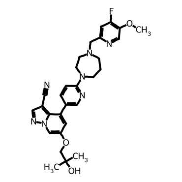 COc1cnc(CN2CCCN(c3ccc(-c4cc(OCC(C)(C)O)cn5ncc(C#N)c45)cn3)CC2)cc1F